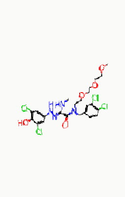 CN/C(=N\Nc1cc(Cl)c(O)c(Cl)c1)C(=O)N(CCOCCOCCOC)Cc1ccc(Cl)c(Cl)c1